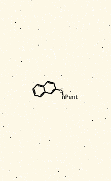 CCCCCSc1ccc2ccccc2c1